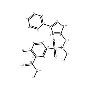 CCN(Sc1nc(-c2ccccc2)cs1)S(=O)(=O)c1ccc(C)c(C(=O)OC)c1